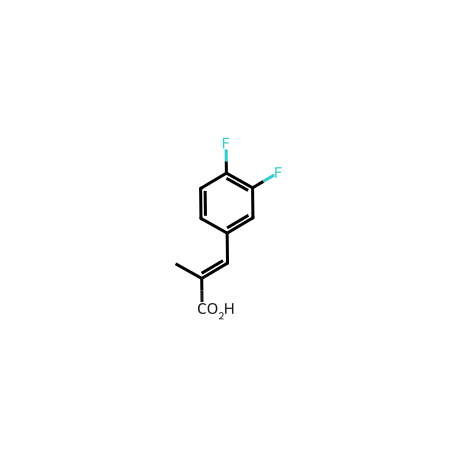 CC(=Cc1ccc(F)c(F)c1)C(=O)O